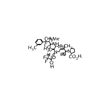 CN[C@H](C(=O)N[C@H](C(=O)N(C)[C@H](C=C(C)C(=O)N1CCC[C@H]1C(=O)O)C(C)C)C(C)(C)C)C(C)(C)c1cccc(C)c1.O=C(O)C(F)(F)F